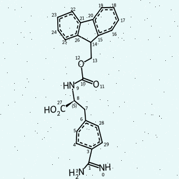 N=C(N)c1ccc(C[C@H](NC(=O)OCC2c3ccccc3-c3ccccc32)C(=O)O)cc1